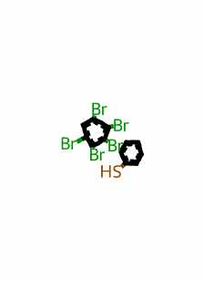 Brc1cc(Br)c(Br)c(Br)c1Br.Sc1ccccc1